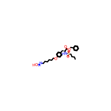 CCCCS(=O)(=O)N[C@@H](Cc1ccc(OCCCCCCN=NO)cc1)C(=O)OCc1ccccc1